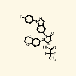 CC(F)(F)C(=O)N[C@H]1CC(=O)N(c2ccc3c(cnn3-c3ccc(F)cc3)c2)[C@@H]1c1ccc2c(c1)OCCO2